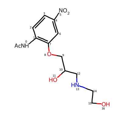 CC(=O)Nc1ccc([N+](=O)[O-])cc1OCC(O)CNCCO